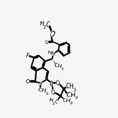 COC(=O)c1ccccc1N[C@H](C)c1cc(F)cc2c(=O)n(C)c(B3OC(C)(C)C(C)(C)O3)cc12